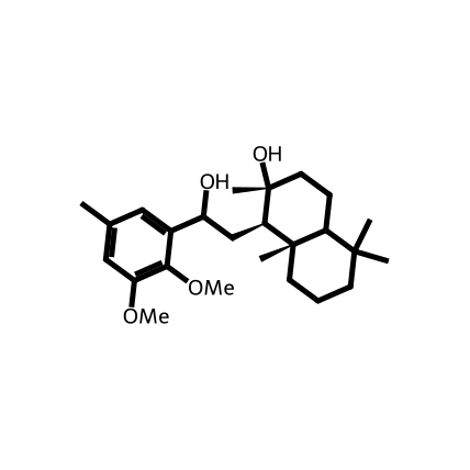 COc1cc(C)cc(C(O)C[C@@H]2[C@@]3(C)CCCC(C)(C)C3CC[C@@]2(C)O)c1OC